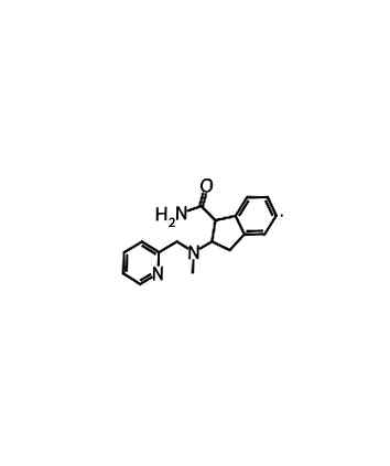 CN(Cc1ccccn1)C1Cc2c[c]ccc2C1C(N)=O